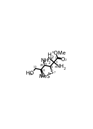 COC(=O)C(N)(N)C(SSC)[C@H](N)C(=O)CO